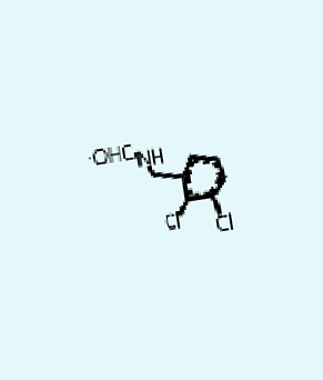 O=[C]NCc1cccc(Cl)c1Cl